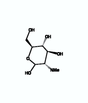 CN[C@@H]1C(O)O[C@@H](CO)[C@H](O)[C@H]1O